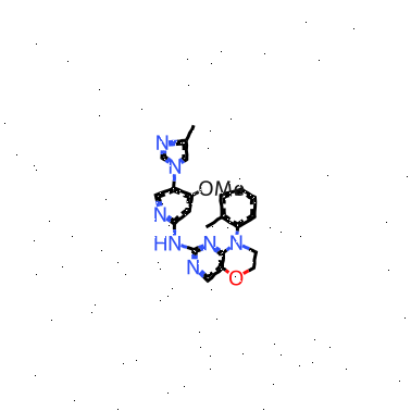 COc1cc(Nc2ncc3c(n2)N(c2ccccc2C)CCO3)ncc1-n1cnc(C)c1